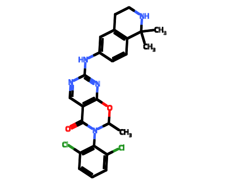 CC1Oc2nc(Nc3ccc4c(c3)CCNC4(C)C)ncc2C(=O)N1c1c(Cl)cccc1Cl